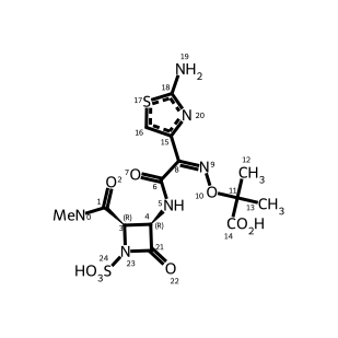 CNC(=O)[C@H]1[C@@H](NC(=O)C(=NOC(C)(C)C(=O)O)c2csc(N)n2)C(=O)N1S(=O)(=O)O